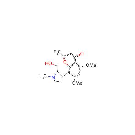 COc1cc(OC)c2c(=O)cc(C(F)(F)F)oc2c1C1CCN(C)C1CO